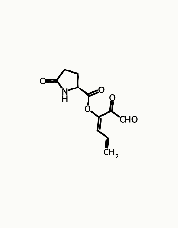 C=CC=C(OC(=O)[C@@H]1CCC(=O)N1)C(=O)C=O